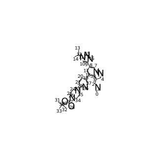 C=NCc1cnn2cc(-c3cn(C(C)C)nn3)cc(-c3ccc(N4CCN(C(=O)OC(C)(C)C)CC4)nc3)c12